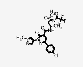 C[C@@H](CS(C)(=O)=NC(=O)C(F)(F)F)NC(=O)c1cc(-c2ccc(Cl)cc2)nn(-c2cnn(C)c2)c1=O